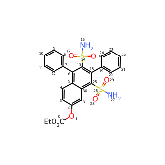 CCOC(=O)Oc1ccc2c(-c3ccccc3)c(S(N)(=O)=O)c(-c3ccccc3)c(S(N)(=O)=O)c2c1